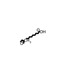 C1=CCOC1.CCCCCCCCCC(=O)O